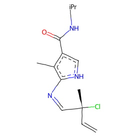 C=C[C@@](C)(Cl)/C=N\c1[nH]cc(C(=O)NC(C)C)c1C